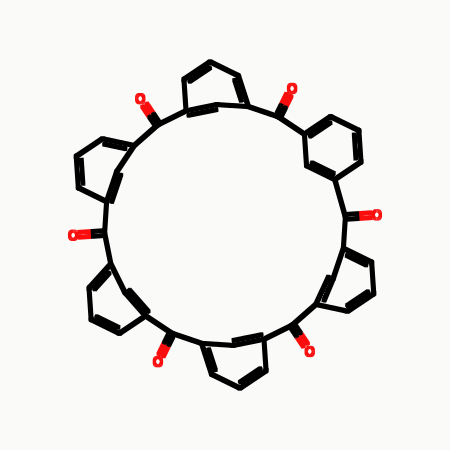 O=c1c2cccc(c2)c(=O)c2cccc(c2)c(=O)c2cccc(c2)c(=O)c2cccc(c2)c(=O)c2cccc(c2)c(=O)c2cccc1c2